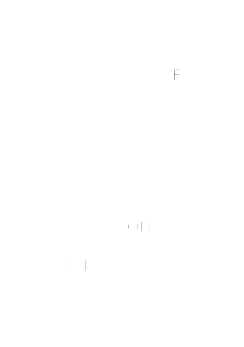 CC=C(O)c1cccc(F)c1F